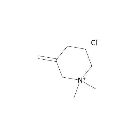 C=C1CCC[N+](C)(C)C1.[Cl-]